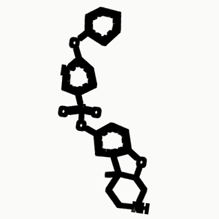 CC12CCNCC1Oc1ccc(OS(=O)(=O)c3ccc(Oc4ccccc4)nc3)cc12